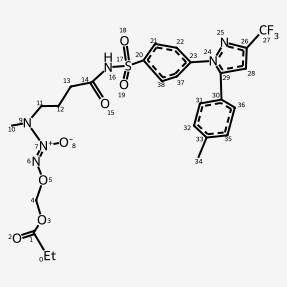 CCC(=O)OCO/N=[N+](\[O-])N(C)CCCC(=O)NS(=O)(=O)c1ccc(-n2nc(C(F)(F)F)cc2-c2ccc(C)cc2)cc1